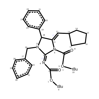 CC(C)(C)OC(=O)/N=C1\N(C(=O)OC(C)(C)C)/C(=C\C2CCCC2)C(c2ccccc2)N1Cc1ccccc1